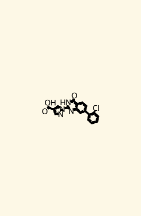 O=C(O)c1cnn(-c2nc3cc(-c4ccccc4Cl)ccc3c(=O)[nH]2)c1